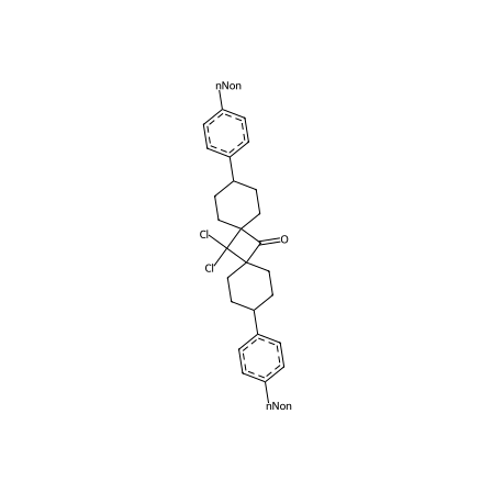 CCCCCCCCCc1ccc(C2CCC3(CC2)C(=O)C2(CCC(c4ccc(CCCCCCCCC)cc4)CC2)C3(Cl)Cl)cc1